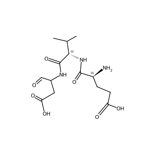 CC(C)[C@H](NC(=O)[C@@H](N)CCC(=O)O)C(=O)NC(C=O)CC(=O)O